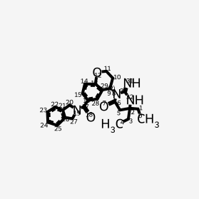 CCC1(CC)CC(=O)N([C@@H]2CCOc3ccc(C(=O)N4Cc5ccccc5C4)cc32)C(=N)N1